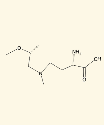 CO[C@H](C)CN(C)CC[C@H](N)C(=O)O